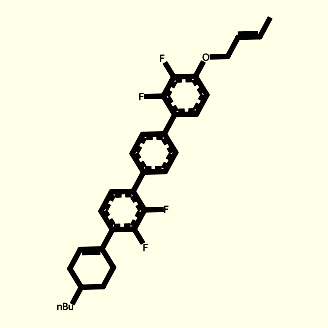 C/C=C/COc1ccc(-c2ccc(-c3ccc(C4=CCC(CCCC)CC4)c(F)c3F)cc2)c(F)c1F